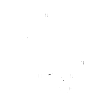 C[C@@H](Cc1ccc(C(F)(F)F)cc1)N(Nc1cc(-c2ccc3cnccc3c2)on1)C(=O)O